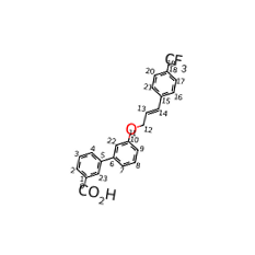 O=C(O)c1cccc(-c2cccc(OCC=Cc3ccc(C(F)(F)F)cc3)c2)c1